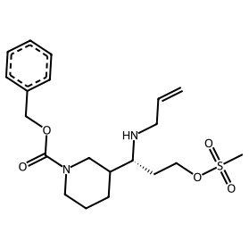 C=CCN[C@H](CCOS(C)(=O)=O)C1CCCN(C(=O)OCc2ccccc2)C1